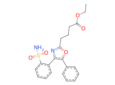 CCOC(=O)CCCc1nc(-c2ccccc2S(N)(=O)=O)c(-c2ccccc2)o1